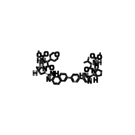 COC(=O)N[C@H](C(=O)N1[C@@H]2CC[C@@H](C2)[C@H]1c1ncc(-c2ccc(-c3ccc4c(ccc5nc([C@@H]6C[C@H]7C[C@H]7N6C(=O)[C@@H](NC(=O)OC)C6CCOCC6)[nH]c54)c3)cc2)[nH]1)C(C)C